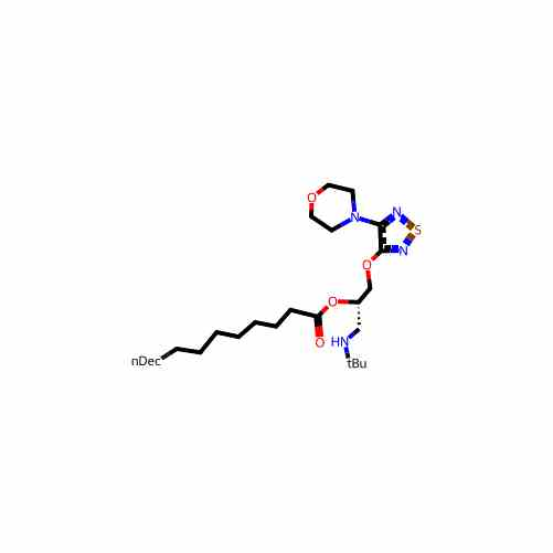 CCCCCCCCCCCCCCCCCC(=O)O[C@@H](CNC(C)(C)C)COc1nsnc1N1CCOCC1